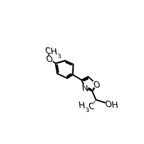 COc1ccc(-c2coc([C@@H](C)O)n2)cc1